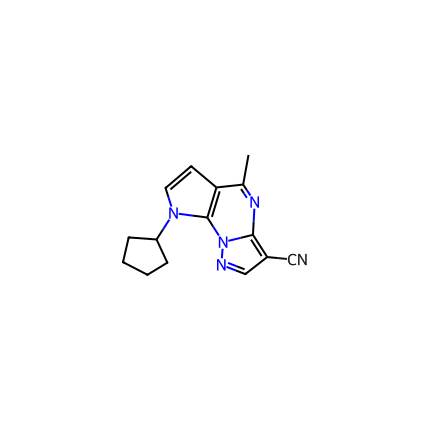 Cc1nc2c(C#N)cnn2c2c1ccn2C1CCCC1